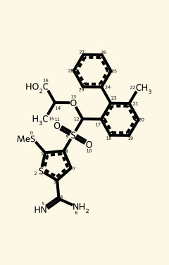 CSc1sc(C(=N)N)cc1S(=O)(=O)C(OC(C)C(=O)O)c1cccc(C)c1-c1ccccc1